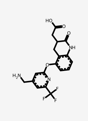 NCc1cc(Oc2cccc3c2CC(CC(=O)O)C(=O)N3)nc(C(F)(F)F)c1